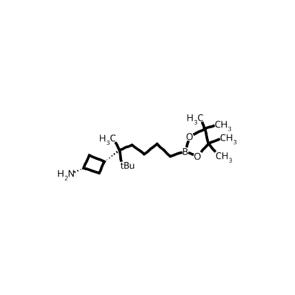 CC1(C)OB(CCCCC(C)([C@H]2C[C@@H](N)C2)C(C)(C)C)OC1(C)C